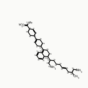 C=C(CCC)C1C=CC(C2=CCC(C3=C4C=CC=CC4C(C(CN)CCC/C=C/CC(C)CN)CC3)CC2)CC1